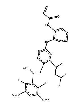 C=CC(=O)Nc1ccccc1Nc1ncc(CN(C=O)c2c(F)c(OC)cc(OC)c2F)c(N(C)CC(F)F)n1